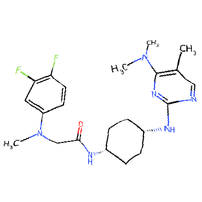 Cc1cnc(N[C@H]2CC[C@@H](NC(=O)CN(C)c3ccc(F)c(F)c3)CC2)nc1N(C)C